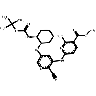 COC(=O)c1ccc(Nc2cc(N[C@@H]3CCCC[C@@H]3NC(=O)OC(C)(C)C)cnc2C#N)nc1C